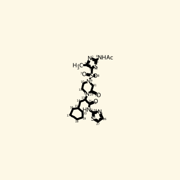 CC(=O)Nc1nc(C)c(S(=O)(=O)N2CCN(C(CC3CCCCC3)C(=O)Nc3nccs3)C(=O)C2)s1